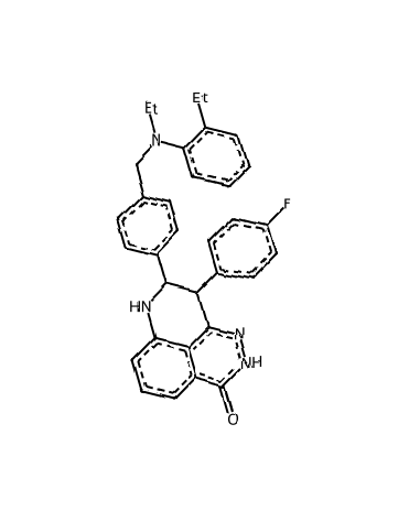 CCc1ccccc1N(CC)Cc1ccc(C2Nc3cccc4c(=O)[nH]nc(c34)C2c2ccc(F)cc2)cc1